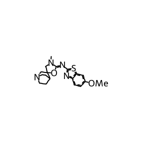 COc1ccc2nc(N=C3OC4(CN5CCC4CC5)CN3C)sc2c1